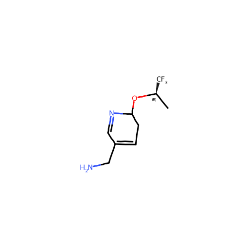 C[C@@H](OC1CC=C(CN)C=N1)C(F)(F)F